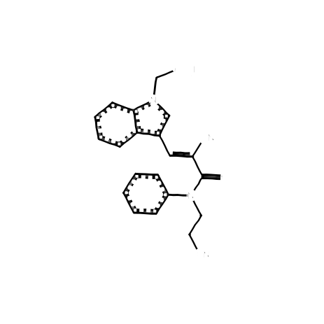 N#CCCN(C(=O)/C(C#N)=C/c1cn(CC(=O)O)c2ccccc12)c1ccccc1